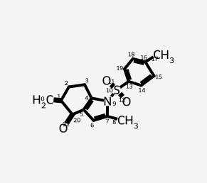 C=C1CCc2c(cc(C)n2S(=O)(=O)c2ccc(C)cc2)C1=O